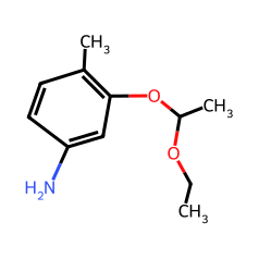 CCOC(C)Oc1cc(N)ccc1C